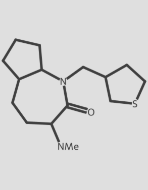 CNC1CCC2CCCC2N(CC2CCSC2)C1=O